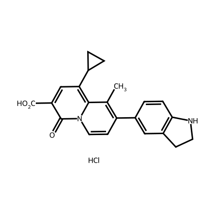 Cc1c(-c2ccc3c(c2)CCN3)ccn2c(=O)c(C(=O)O)cc(C3CC3)c12.Cl